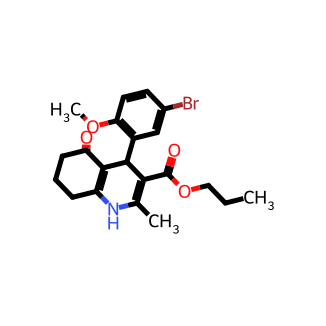 CCCOC(=O)C1=C(C)NC2=C(C(=O)CCC2)C1c1cc(Br)ccc1OC